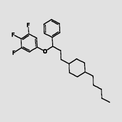 CCCCCC1CCC(CCC(Oc2cc(F)c(F)c(F)c2)c2ccccc2)CC1